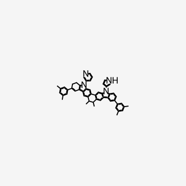 Cc1cc(C)cc(C2=Cc3c(n(-c4cccnc4)c4cc5c(cc34)C(C)C(C)c3cc4c6cc(-c7cc(C)cc(C)c7)ccc6n(-c6cc[nH]c6)c4cc3-5)CC2)c1